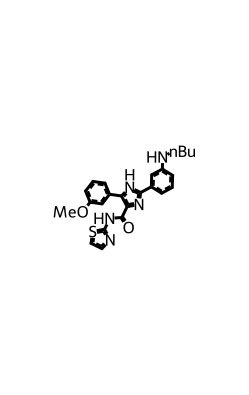 CCCCNc1cccc(-c2nc(C(=O)Nc3nccs3)c(-c3cccc(OC)c3)[nH]2)c1